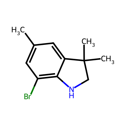 Cc1cc(Br)c2c(c1)C(C)(C)CN2